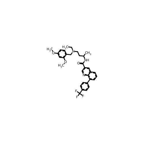 CCN(CCC(C)NC(=O)c1cnc2c(-c3ccc(C(F)(F)F)cc3)cccc2c1)Cc1ccc(OC)cc1OC